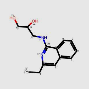 CC(C)Cc1cc2ccccc2c(NCC(O)CO)n1